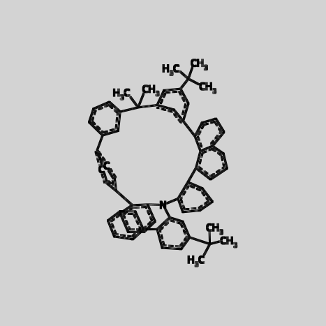 CC(C)(C)c1cc2cc(c1)C(C)(C)c1cccc(c1)-c1ccc(cc1)-c1ccccc1N(c1cc(C(C)(C)C)ccc1-c1ccccc1)c1ccccc1-c1cccc3cccc-2c13